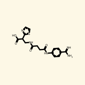 N=C(N)c1ccc(NC(=O)CCC(=O)NCC(C(=O)O)c2nccs2)cc1